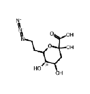 [N-]=[N+]=NCCC1OC(O)(C(=O)O)CC(O)[C@H]1O